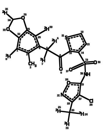 [2H]c1c(C)c(C([2H])([2H])C(=O)c2sccc2S(=O)(=O)Nc2onc(C([2H])([2H])[2H])c2Cl)c([2H])c2c1OC([2H])O2